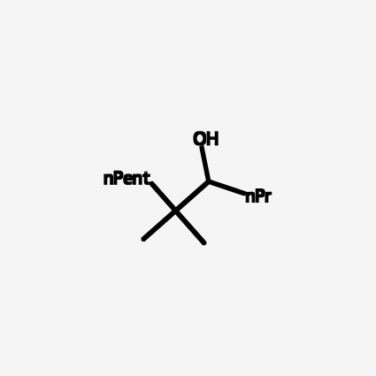 CCCCCC(C)(C)C(O)CCC